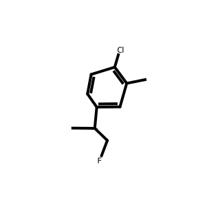 C[C](CF)c1ccc(Cl)c(C)c1